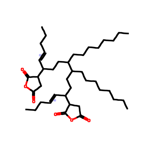 CCC/C=C/C(CCC(CCCCCCCC)C(CCCCCCCC)CCC(/C=C/CCC)C1CC(=O)OC1=O)C1CC(=O)OC1=O